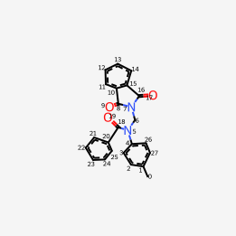 Cc1ccc(N(CN2C(=O)c3ccccc3C2=O)C(=O)c2ccccc2)cc1